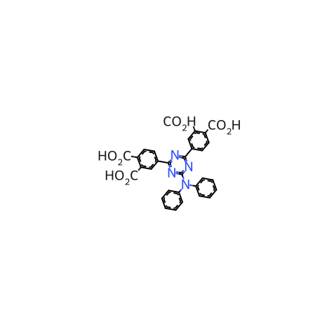 O=C(O)c1ccc(-c2nc(-c3ccc(C(=O)O)c(C(=O)O)c3)nc(N(c3ccccc3)c3ccccc3)n2)cc1C(=O)O